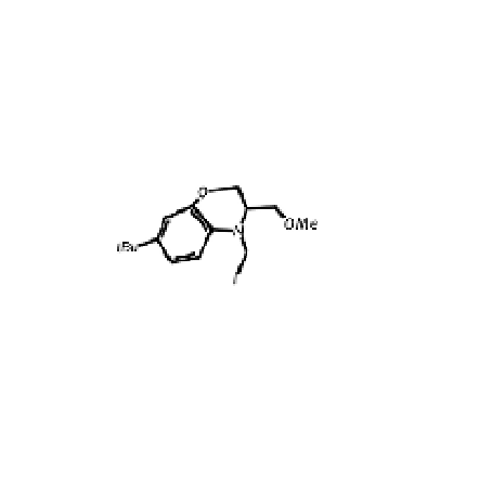 COCC1COc2cc(C(C)(C)C)ccc2N1CI